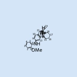 COc1ccccc1Nc1ccc2c(c1)[C@@]13CCCC[C@H]1[C@@H](C2)N(C)CC3